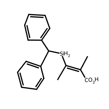 CC([SiH2]C(c1ccccc1)c1ccccc1)=C(C)C(=O)O